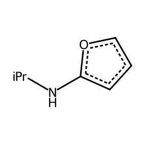 CC(C)Nc1ccco1